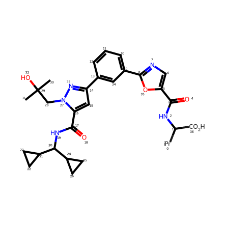 CC(C)C(NC(=O)c1cnc(-c2cccc(-c3cc(C(=O)NC(C4CC4)C4CC4)n(CC(C)(C)O)n3)c2)o1)C(=O)O